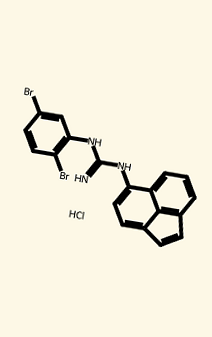 Cl.N=C(Nc1cc(Br)ccc1Br)Nc1ccc2c3c(cccc13)C=C2